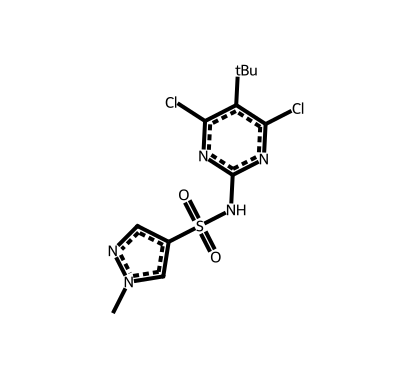 Cn1cc(S(=O)(=O)Nc2nc(Cl)c(C(C)(C)C)c(Cl)n2)cn1